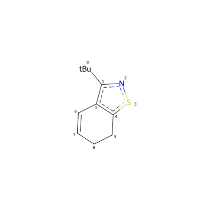 CC(C)(C)c1nsc2c1C=CCC2